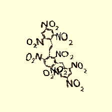 O=[N+]([O-])c1cc([N+](=O)[O-])c(/C=C/c2c([N+](=O)[O-])cc([N+](=O)[O-])c(Cc3c([N+](=O)[O-])cc([N+](=O)[O-])cc3[N+](=O)[O-])c2[N+](=O)[O-])c([N+](=O)[O-])c1